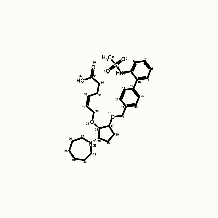 CS(=O)(=O)Nc1ccccc1-c1ccc(CO[C@H]2CC[C@H](N3CCCCCC3)[C@H]2OC/C=C\CCC(=O)O)cc1